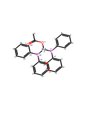 CC(=O)[O][Pd]([P](c1ccccc1)c1ccccc1)[P](c1ccccc1)c1ccccc1